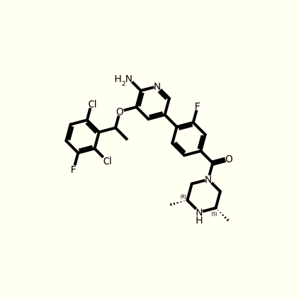 CC(Oc1cc(-c2ccc(C(=O)N3C[C@@H](C)N[C@@H](C)C3)cc2F)cnc1N)c1c(Cl)ccc(F)c1Cl